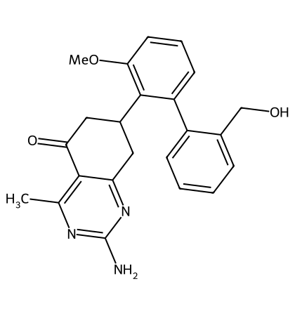 COc1cccc(-c2ccccc2CO)c1C1CC(=O)c2c(C)nc(N)nc2C1